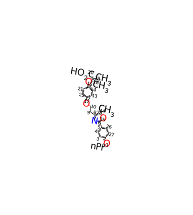 CCCOc1ccc(-c2nc(CCOc3ccc(OC(C)(C)C(=O)O)cc3)c(C)o2)cc1